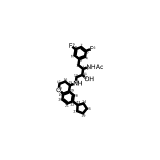 CC(=O)NC(Cc1cc(F)cc(F)c1)C(O)CNC1CCOc2ccc(C3CCCC3)cc21